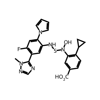 Cn1ncnc1-c1cc(NSN(O)c2cc(C(=O)O)ccc2C2CC2)c(-n2cccc2)cc1F